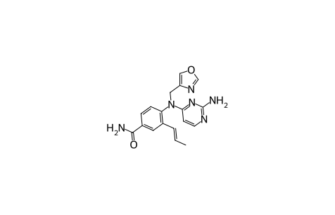 CC=Cc1cc(C(N)=O)ccc1N(Cc1cocn1)c1ccnc(N)n1